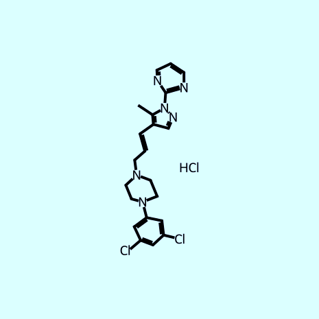 Cc1c(/C=C/CN2CCN(c3cc(Cl)cc(Cl)c3)CC2)cnn1-c1ncccn1.Cl